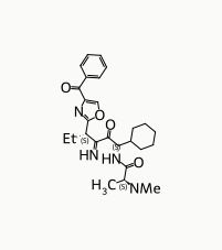 CC[C@@H](C(=N)C(=O)[C@@H](NC(=O)[C@H](C)NC)C1CCCCC1)c1nc(C(=O)c2ccccc2)co1